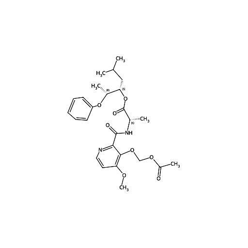 COc1ccnc(C(=O)N[C@@H](C)C(=O)O[C@@H](CC(C)C)[C@@H](C)Oc2ccccc2)c1OCOC(C)=O